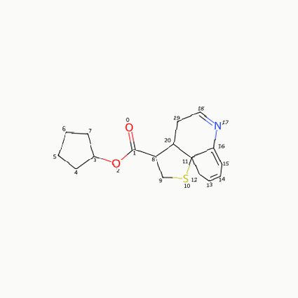 O=C(OC1CCCC1)C1CSC23CC=CC=C2N=CCC13